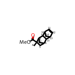 COC(=O)C1(C)CC2CC1C1C3C=CC(C3)C21